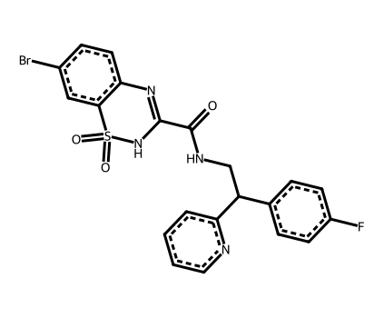 O=C(NCC(c1ccc(F)cc1)c1ccccn1)C1=Nc2ccc(Br)cc2S(=O)(=O)N1